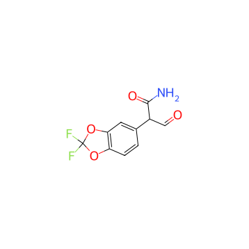 NC(=O)C(C=O)c1ccc2c(c1)OC(F)(F)O2